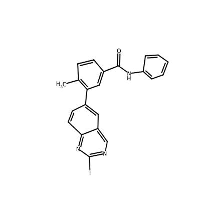 Cc1ccc(C(=O)Nc2ccccc2)cc1-c1ccc2nc(I)ncc2c1